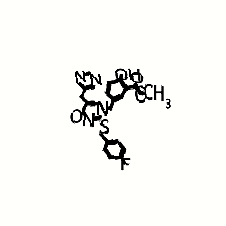 COC(=O)c1cc(Cn2cc(Cc3cncnc3)c(=O)nc2SCc2ccc(F)cc2)ccc1O